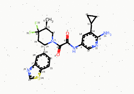 C[C@H]1CN(C(=O)C(=O)Nc2cnc(N)c(C3CC3)c2)[C@H](c2ccc3scnc3c2)CC1(F)F